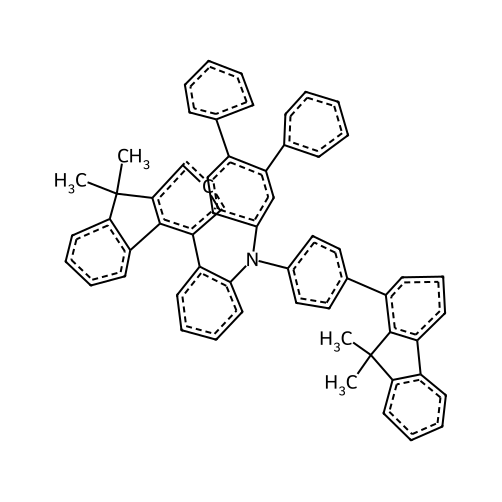 CC1(C)c2ccccc2-c2c(-c3ccccc3N(c3ccc(-c4cccc5c4C(C)(C)c4ccccc4-5)cc3)c3ccc(-c4ccccc4)c(-c4ccccc4)c3)cccc21